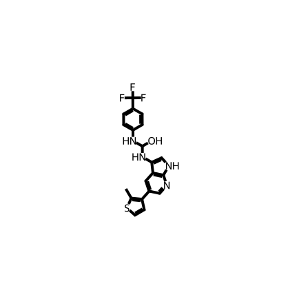 Cc1sccc1-c1cnc2[nH]cc(NC(O)Nc3ccc(C(F)(F)F)cc3)c2c1